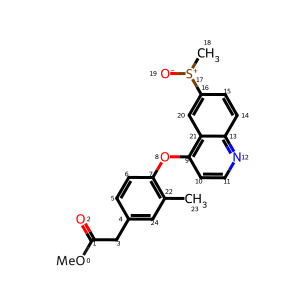 COC(=O)Cc1ccc(Oc2ccnc3ccc([S+](C)[O-])cc23)c(C)c1